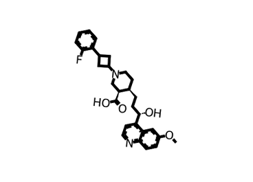 COc1ccc2nccc([C@@H](O)CC[C@@H]3CCN(C4CC(c5ccccc5F)C4)C[C@@H]3C(=O)O)c2c1